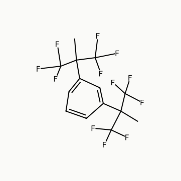 CC(c1cccc(C(C)(C(F)(F)F)C(F)(F)F)c1)(C(F)(F)F)C(F)(F)F